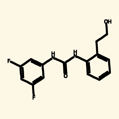 O=C(Nc1cc(F)cc(F)c1)Nc1ccccc1CCO